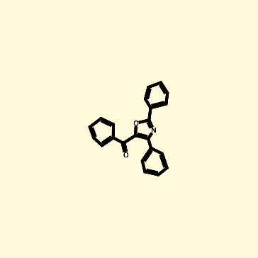 O=C(c1ccccc1)c1oc(-c2ccccc2)nc1-c1ccccc1